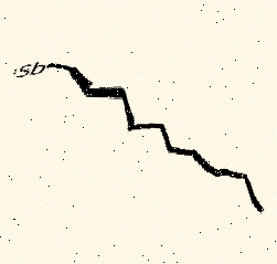 CCCCCCCC/C=[CH]/[Sb]